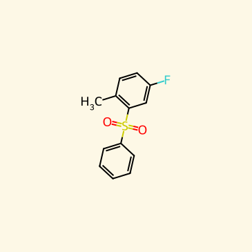 Cc1ccc(F)cc1S(=O)(=O)c1ccccc1